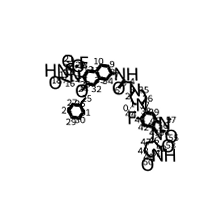 C[C@@H]1CN(CC(=O)Nc2ccc3c(F)c(N4CC(=O)NS4(=O)=O)c(OCc4ccccc4)cc3c2)CCN1c1cc2c(cc1F)n(C1CCC(=O)NC1=O)c(=O)n2C